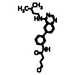 CC(C)CCNc1ncnc2ccc(-c3cccc(NC(=O)CCC=O)c3)cc12